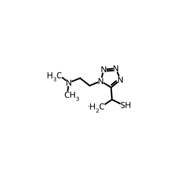 [CH2]C(S)c1nnnn1CCN(C)C